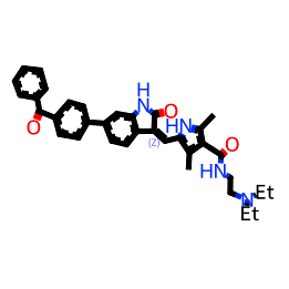 CCN(CC)CCNC(=O)c1c(C)[nH]c(/C=C2\C(=O)Nc3cc(-c4ccc(C(=O)c5ccccc5)cc4)ccc32)c1C